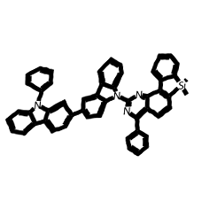 C[Si]1(C)c2ccccc2-c2c1ccc1c(-c3ccccc3)nc(-n3c4ccccc4c4cc(-c5ccc6c7ccccc7n(-c7ccccc7)c6c5)ccc43)nc21